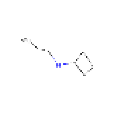 CCCCCC[N]C1CCC1